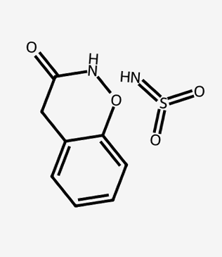 N=S(=O)=O.O=C1Cc2ccccc2ON1